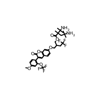 COc1ccc(-c2cc3ccc(OCC(COC(=O)C(C)(CC(C)(C)N)C(C)(C)N)CC(F)(F)F)cc3oc2=O)c(OC(F)(F)F)c1